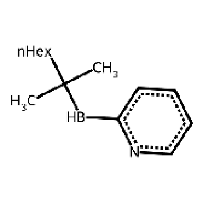 CCCCCCC(C)(C)Bc1ccccn1